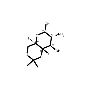 CC1(C)OC[C@H]2O[C@@H](O)[C@H](N)[C@@H](O)[C@@H]2O1